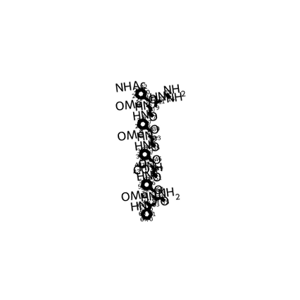 COc1ccc(NC(=O)[C@@H](CCCNC(=N)N)NC(=O)c2cc(NC(C)=O)ccc2OC)cc1C(=O)N[C@H](C)C(=O)Nc1ccc(OCC(=O)O)c(C(=O)N[C@H](C)C(=O)Nc2ccc(OC)c(C(=O)N[C@H](Cc3c[nH]c4ccccc34)C(N)=O)c2)c1